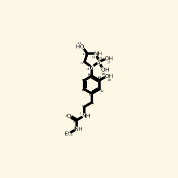 CCNC(=O)NCCc1ccc(N2CC(O)NS2(O)O)c(O)c1